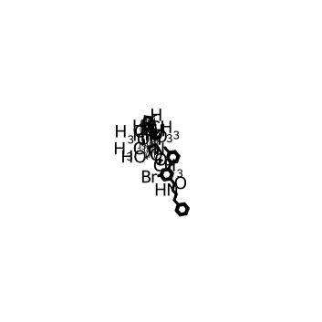 COc1c(CN2O[C@@H](CO)[C@H]([C@H](C)O)[C@H]2C(=O)N[C@H]2C[C@H]3C[C@@H]([C@@H]2C)C3(C)C)cccc1-c1cc(Br)cc(C(=O)NCCc2ccccc2)c1